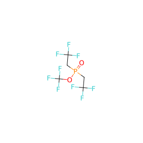 O=P(CC(F)(F)F)(CC(F)(F)F)OC(F)(F)F